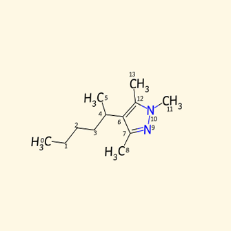 CCCCC(C)c1c(C)nn(C)c1C